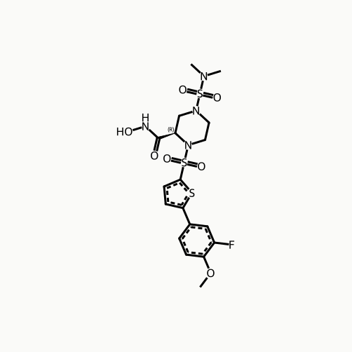 COc1ccc(-c2ccc(S(=O)(=O)N3CCN(S(=O)(=O)N(C)C)C[C@@H]3C(=O)NO)s2)cc1F